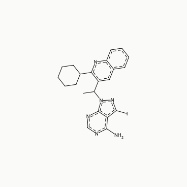 CC(c1cc2ccccc2nc1C1CCCCC1)n1nc(I)c2c(N)ncnc21